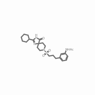 CC(=O)Nc1cccc(CCCS(=O)(=O)N2CCC3(CC2)N=C(C2CCCCC2)NC3=O)c1